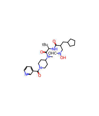 CN(C(=O)C(NC(=O)C(CC1CCCC1)CN(O)C=O)C(C)(C)C)C1CCN(C(=O)c2cccnc2)CC1